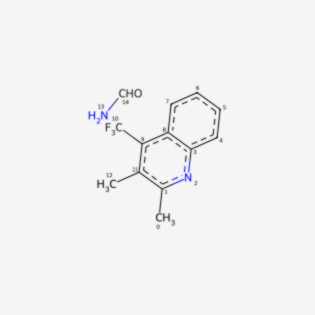 Cc1nc2ccccc2c(C(F)(F)F)c1C.NC=O